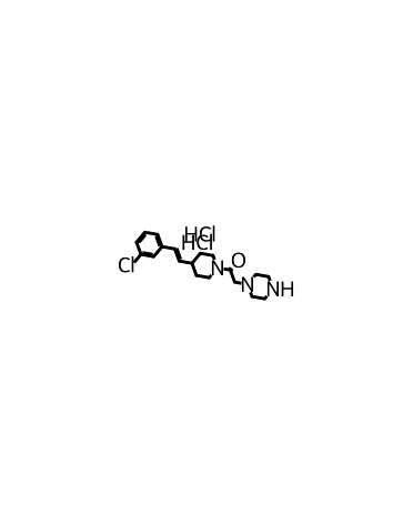 Cl.Cl.O=C(CN1CCNCC1)N1CCC(C=Cc2cccc(Cl)c2)CC1